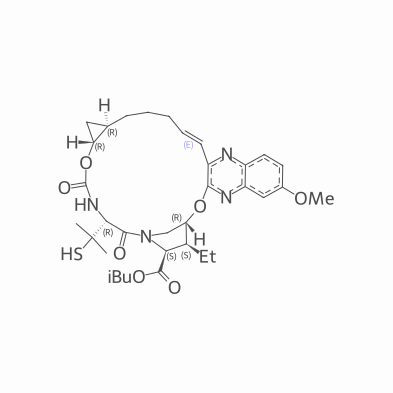 CC[C@@H]1[C@@H]2CN(C(=O)[C@H](C(C)(C)S)NC(=O)O[C@@H]3C[C@H]3CCC/C=C/c3nc4ccc(OC)cc4nc3O2)[C@@H]1C(=O)OCC(C)C